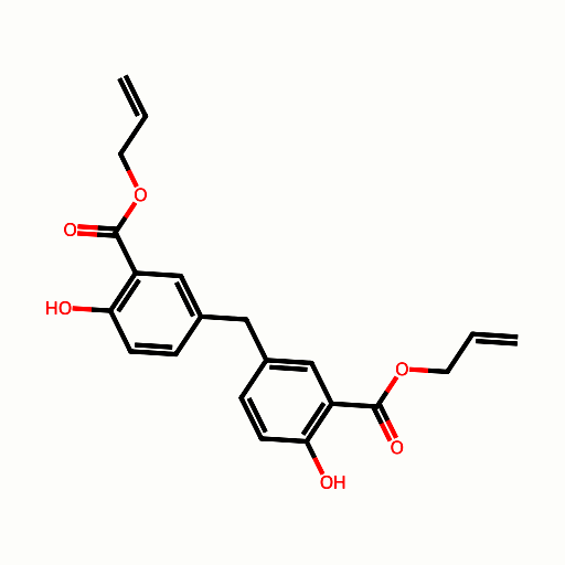 C=CCOC(=O)c1cc(Cc2ccc(O)c(C(=O)OCC=C)c2)ccc1O